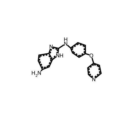 Nc1ccc2nc(Nc3ccc(Oc4ccncc4)cc3)[nH]c2c1